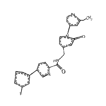 Cc1cc(-n2ccc(CNC(=O)c3ccc(-c4cccc(F)c4)cn3)cc2=O)ccn1